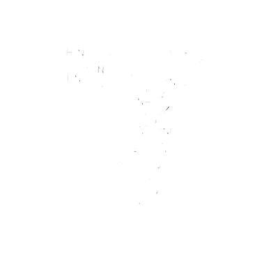 N=C(N)N1CCCC(CNC(=O)[C@@H](CC(=O)N2CCCCCC2)NS(=O)(=O)c2ccc3ccccc3c2)C1